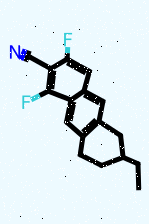 CCC1CCc2cc3c(F)c(C#N)c(F)cc3cc2C1